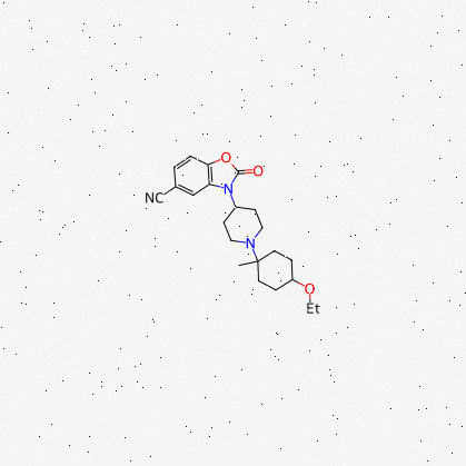 CCOC1CCC(C)(N2CCC(n3c(=O)oc4ccc(C#N)cc43)CC2)CC1